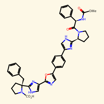 COC(=O)N[C@@H](C(=O)N1CCC[C@H]1c1nc(-c2ccc(-c3cnc(-c4c[nH]c([C@@]5(Cc6ccccc6)CCCN5C(=O)O)n4)o3)cc2)c[nH]1)c1ccccc1